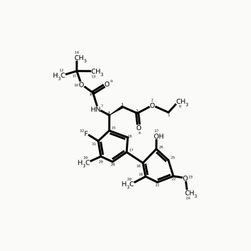 CCOC(=O)C[C@H](NC(=O)OC(C)(C)C)c1cc(-c2c(C)cc(OC)cc2O)cc(C)c1F